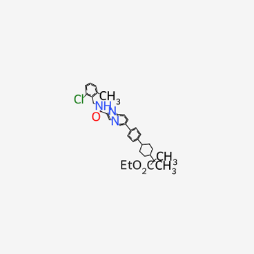 CCOC(=O)C(C)(C)C1CCC(c2ccc(-c3ccc4nc(C(=O)NCc5c(C)cccc5Cl)cn4c3)cc2)CC1